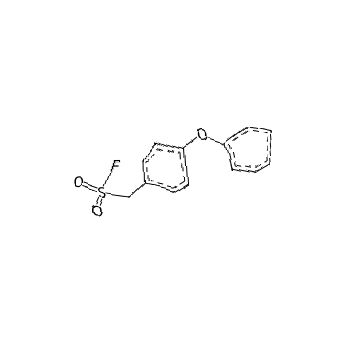 O=S(=O)(F)Cc1ccc(Oc2ccccc2)cc1